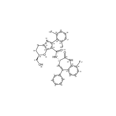 O=C(N[C@H]1N=C(c2ccccc2)c2cccc(F)c2NC1=O)c1c(-c2c(F)cccc2F)nn2c1O[C@@H](CO)CC2